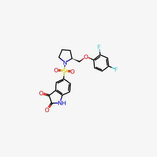 O=C1Nc2ccc(S(=O)(=O)N3CCC[C@H]3COc3ccc(F)cc3F)cc2C1=O